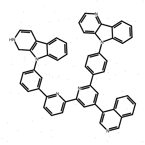 C1=Cc2c(n(-c3cccc(-c4cccc(-c5cc(-c6cncc7ccccc67)cc(-c6ccc(-n7c8ccccc8c8ncccc87)cc6)n5)n4)c3)c3ccccc23)CN1